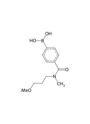 COCCCN(C)C(=O)c1ccc(B(O)O)cc1